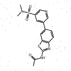 CC(=O)Nc1nc2ccc(-c3cncc(S(=O)(=O)N(C)C)c3)cc2s1